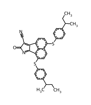 CCC(C)c1ccc(Sc2ccc3c(Sc4ccc(C(C)CC)cc4)ccc4c3c2C2=NC(=O)C(C#N)=C24)cc1